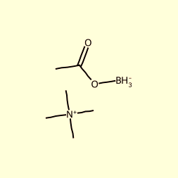 C[N+](C)(C)C.[BH3-]OC(C)=O